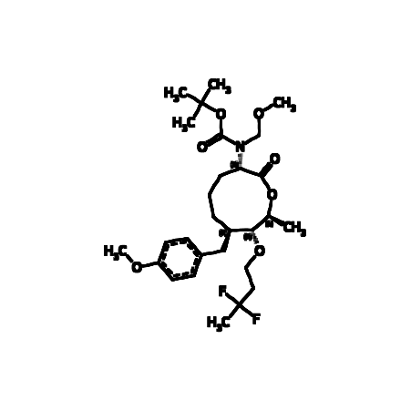 COCN(C(=O)OC(C)(C)C)[C@H]1CCC[C@H](Cc2ccc(OC)cc2)[C@@H](OCCC(C)(F)F)[C@H](C)OC1=O